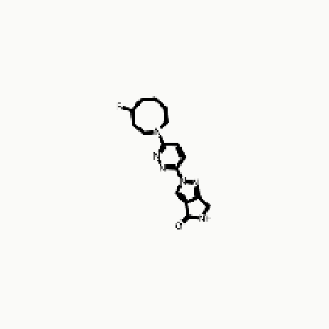 O=C1NCc2nn(-c3ccc(N4CCCCC(F)CC4)nn3)cc21